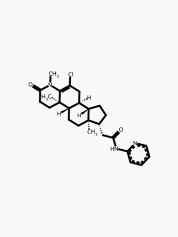 CN1C(=O)CC[C@@]2(C)C1=C(Cl)C[C@H]1[C@@H]3CC[C@H](CC(=O)Nc4ccccn4)[C@@]3(C)CC[C@@H]12